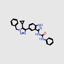 O=C(Nc1ccccc1)Nc1n[nH]c2ccc(-c3nnn(Cc4ccccc4)c3C3CC3)cc12